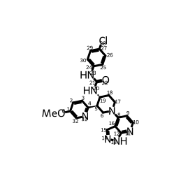 COc1ccc([C@@H]2CN(c3ccnc4[nH]ncc34)CC[C@H]2NC(=O)Nc2ccc(Cl)cc2)nc1